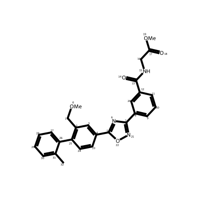 COCc1cc(-c2nc(-c3cccc(C(=O)NCC(=O)OC)c3)no2)ccc1-c1ccccc1C